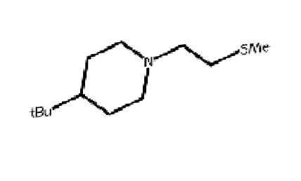 CSCCN1CCC(C(C)(C)C)CC1